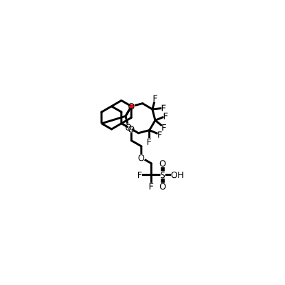 O=S(=O)(O)C(F)(F)COCCOC12CC3CC(C1)C1(OCC(F)(F)C(F)(F)C(F)(F)CO1)C(C3)C2